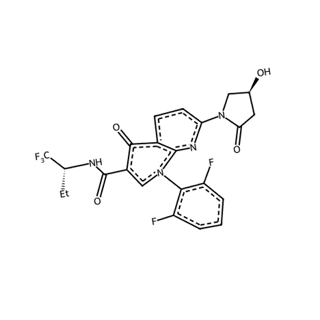 CC[C@@H](NC(=O)c1cn(-c2c(F)cccc2F)c2nc(N3C[C@@H](O)CC3=O)ccc2c1=O)C(F)(F)F